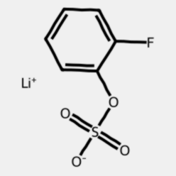 O=S(=O)([O-])Oc1ccccc1F.[Li+]